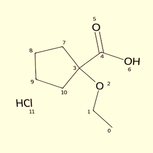 CCOC1(C(=O)O)CCCC1.Cl